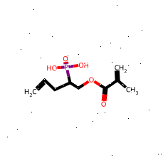 C=CCC(COC(=O)C(=C)C)P(=O)(O)O